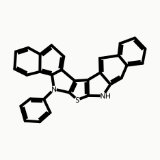 c1ccc(-n2c3sc4[nH]c5cc6ccccc6cc5c4c3c3ccc4ccccc4c32)cc1